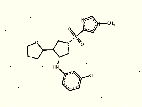 Cn1cnc(S(=O)(=O)N2C[C@H](Nc3cccc(Cl)c3)[C@@H](C3CCCO3)C2)c1